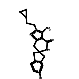 Nc1c2c(nn1CCC1CC1)CC1(Cc3ccc(Br)cc3C1)NC2=O